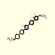 C=CC1CCC(C2CC=C(c3ccc(-c4ccc(-c5ccc(CC)c(F)c5F)cc4)cc3F)CC2)CC1